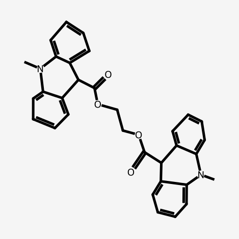 CN1c2ccccc2C(C(=O)OCCOC(=O)C2c3ccccc3N(C)c3ccccc32)c2ccccc21